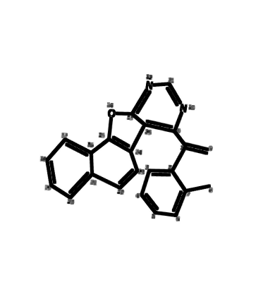 C=C(c1ccccc1C)c1ncnc2oc3c4ccccc4ccc3c12